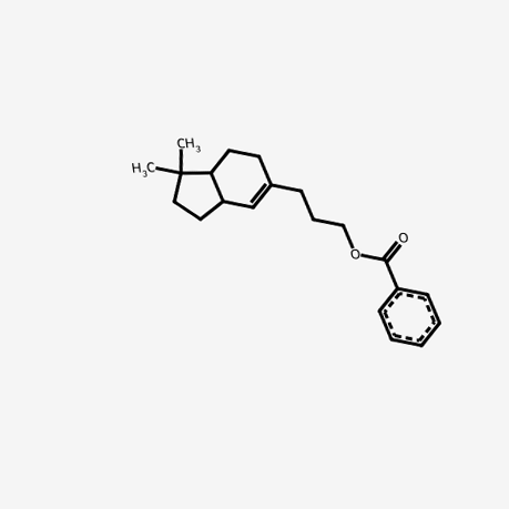 CC1(C)CCC2C=C(CCCOC(=O)c3ccccc3)CCC21